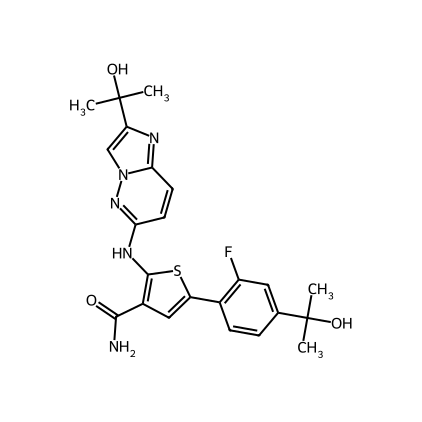 CC(C)(O)c1ccc(-c2cc(C(N)=O)c(Nc3ccc4nc(C(C)(C)O)cn4n3)s2)c(F)c1